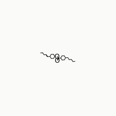 CCC/C=C/C1CCC(OC(=O)C2CCC(CCCCC)CC2)CC1